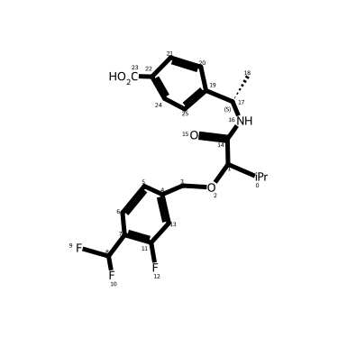 CC(C)C(OCc1ccc(C(F)F)c(F)c1)C(=O)N[C@@H](C)c1ccc(C(=O)O)cc1